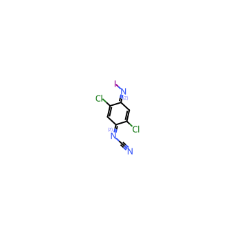 N#C/N=C1C=C(Cl)/C(=N\I)C=C/1Cl